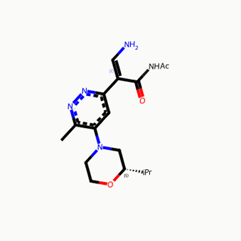 CC(=O)NC(=O)/C(=C\N)c1cc(N2CCO[C@@H](C(C)C)C2)c(C)nn1